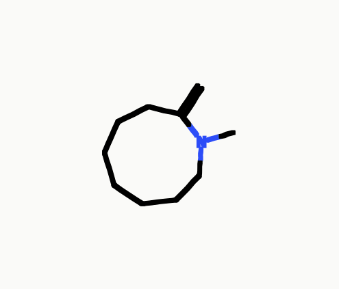 C=C1CCCCCCCN1C